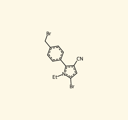 CCn1c(Br)cc(C#N)c1-c1ccc(CBr)cc1